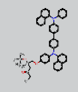 CC[Si](=O)C[Si](C)(COc1ccc(N(c2ccc(-c3ccc(N(c4ccccc4)c4cccc5ccccc45)cc3)cc2)c2cccc3ccccc23)cc1)O[Si](C)(C)C